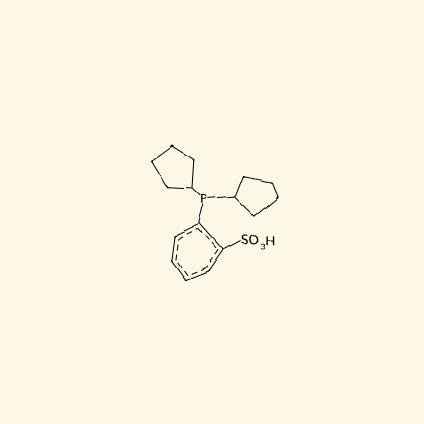 O=S(=O)(O)c1ccccc1P(C1CCCC1)C1CCCC1